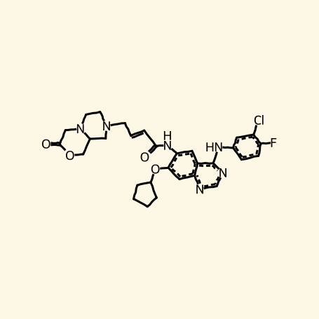 O=C(C=CCN1CCN2CC(=O)OCC2C1)Nc1cc2c(Nc3ccc(F)c(Cl)c3)ncnc2cc1OC1CCCC1